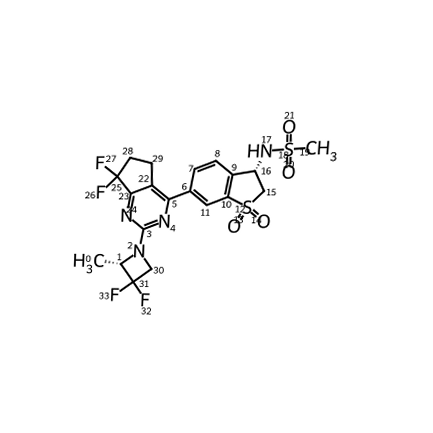 C[C@@H]1N(c2nc(-c3ccc4c(c3)S(=O)(=O)C[C@H]4NS(C)(=O)=O)c3c(n2)C(F)(F)CC3)CC1(F)F